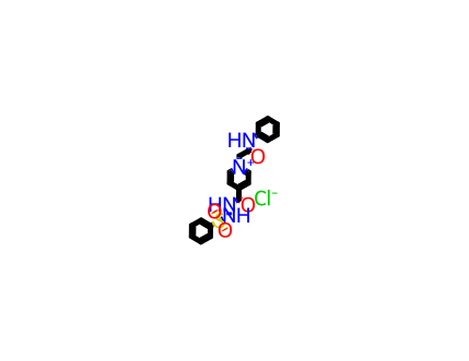 O=C(C[n+]1ccc(C(=O)NNS(=O)(=O)c2ccccc2)cc1)Nc1ccccc1.[Cl-]